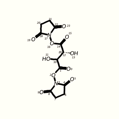 O=C(ON1C(=O)CCC1=O)C(O)[C@@H](O)C(=O)ON1C(=O)CCC1=O